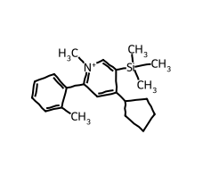 Cc1ccccc1-c1cc(C2CCCC2)c([Si](C)(C)C)c[n+]1C